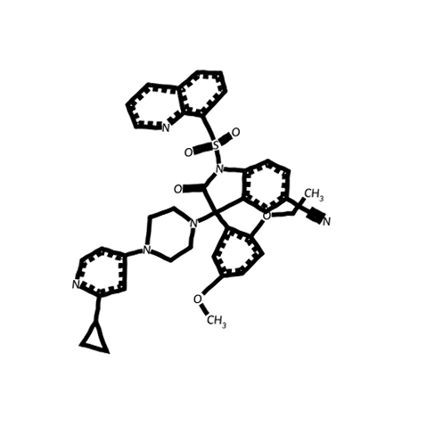 CCOc1ccc(OC)cc1C1(N2CCN(c3ccnc(C4CC4)c3)CC2)C(=O)N(S(=O)(=O)c2cccc3cccnc23)c2ccc(C#N)cc21